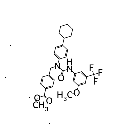 COC(=O)c1ccc(CN(C(=O)Nc2cc(OC)cc(C(F)(F)F)c2)c2ccc(C3CCCCC3)cc2)cc1